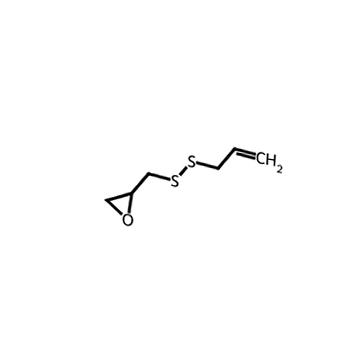 C=CCSSCC1CO1